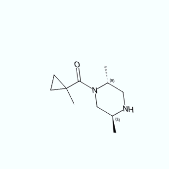 C[C@@H]1CN[C@@H](C)CN1C(=O)C1(C)CC1